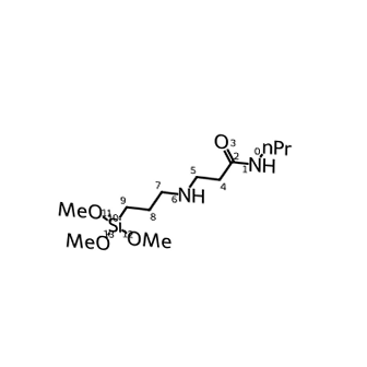 CCCNC(=O)CCNCCC[Si](OC)(OC)OC